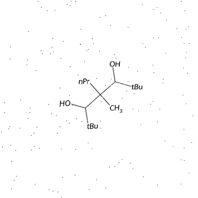 CCCC(C)(C(O)C(C)(C)C)C(O)C(C)(C)C